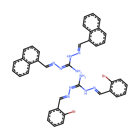 NC(=NN=Cc1cccc2ccccc12)NN=Cc1cccc2ccccc12.NC(=NN=Cc1ccccc1Br)NN=Cc1ccccc1Br